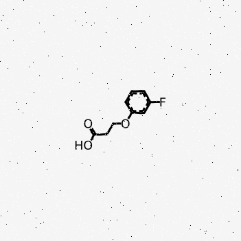 O=C(O)CCOc1cccc(F)c1